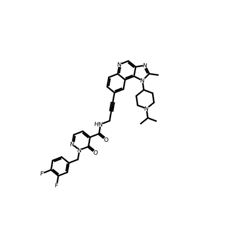 Cc1nc2cnc3ccc(C#CCNC(=O)c4ccnn(Cc5ccc(F)c(F)c5)c4=O)cc3c2n1C1CCN(C(C)C)CC1